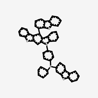 c1ccc(N(c2ccc(-n3c4ccccc4c4c(-c5cccc6c5oc5ccccc56)c5c(cc43)oc3ccccc35)cc2)c2ccc3c(c2)oc2ccccc23)cc1